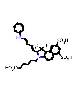 CC1(C)c2c(ccc3c(S(=O)(=O)O)cc(S(=O)(=O)O)cc23)N(CCCCCC(=O)O)C1C=CC=CNc1ccccc1